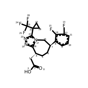 O=C(O)C[C@H]1CC[C@H](c2cccc(F)c2F)Cn2c1nnc2C1(C(F)(F)F)CC1